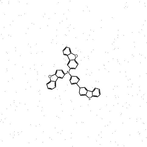 C1=c2sc3ccccc3c2=CC(c2ccc(N(c3ccc4oc5ccccc5c4c3)c3ccc4oc5ccccc5c4c3)cc2)C1